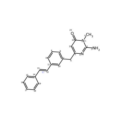 Cn1c(N)nc(Cc2cccc(/C=C/c3ccccc3)c2)cc1=O